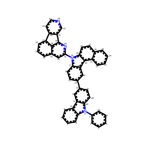 c1ccc(-n2c3ccccc3c3cc(-c4ccc5c(c4)c4c6ccccc6ccc4n5-c4cc5cccc6c5c(n4)-c4cnccc4-6)ccc32)cc1